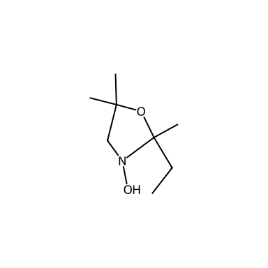 CCC1(C)OC(C)(C)CN1O